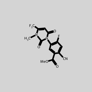 COC(=O)c1cc(-n2c(=O)cc(C(F)(F)F)n(C)c2=O)c(F)cc1C#N